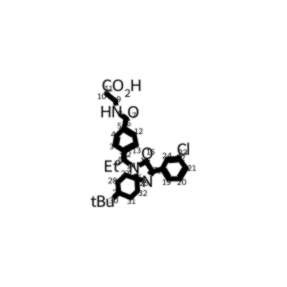 CC[C@H](c1ccc(C(=O)NCCC(=O)O)cc1)N1C(=O)C(c2cccc(Cl)c2)=NC12CCC(C(C)(C)C)CC2